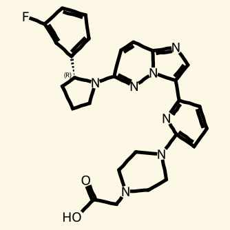 O=C(O)CN1CCN(c2cccc(-c3cnc4ccc(N5CCC[C@@H]5c5cccc(F)c5)nn34)n2)CC1